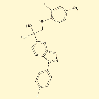 Cc1ccc(NCC(O)(c2ccc3c(cnn3-c3ccc(F)cc3)c2)C(F)(F)F)c(F)c1